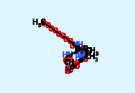 COCCOCCOCCOCCOCCOCCOCCOCCC(=O)NCCCC[C@H](NC(=O)CCCCCNC(=O)/C=C\C(=O)OC)C(=O)N[C@H](C(=O)N[C@@H](C)C(=O)Nc1ccc(COC(=O)Oc2ccc(O[N+](=O)[O-])cc2)cc1)C(C)C